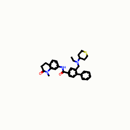 CCN(Cc1cc(C(=O)Nc2ccc3c(c2)N(C)C(=O)CC3)ccc1-c1ccccc1)C1CCSCC1